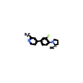 Cc1cc(-c2ccc(N3CCC[C@@H]3C#N)c(F)c2)ccn1